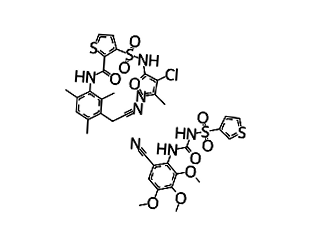 COc1cc(C#N)c(NC(=O)NS(=O)(=O)c2ccsc2)c(OC)c1OC.Cc1cc(C)c(NC(=O)c2sccc2S(=O)(=O)Nc2onc(C)c2Cl)c(C)c1CC#N